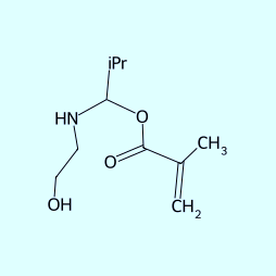 C=C(C)C(=O)OC(NCCO)C(C)C